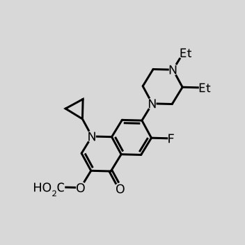 CCC1CN(c2cc3c(cc2F)c(=O)c(OC(=O)O)cn3C2CC2)CCN1CC